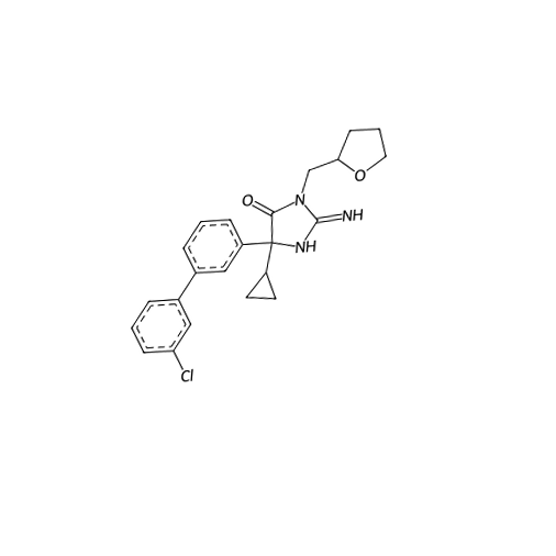 N=C1NC(c2cccc(-c3cccc(Cl)c3)c2)(C2CC2)C(=O)N1CC1CCCO1